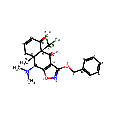 CN(C)[C@@H]1c2onc(OCc3ccccc3)c2C(=O)[C@@]2(C(F)(F)F)C(=O)C=CC[C@@]12C